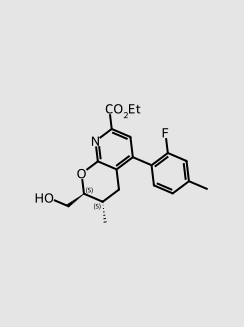 CCOC(=O)c1cc(-c2ccc(C)cc2F)c2c(n1)O[C@H](CO)[C@@H](C)C2